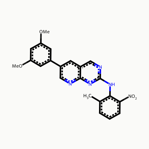 COc1cc(OC)cc(-c2cnc3nc(Nc4c(C)cccc4[N+](=O)[O-])ncc3c2)c1